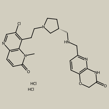 Cl.Cl.Cn1c(=O)ccc2ncc(Cl)c(CCN3CC[C@H](CNCc4ccc5c(n4)NC(=O)CO5)C3)c21